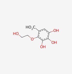 O=C(O)c1cc(O)c(O)c(O)c1OCCO